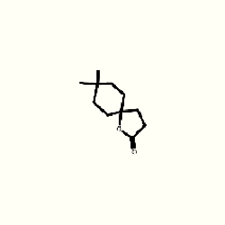 CC1(C)CCC2(CCC(=O)O2)CC1